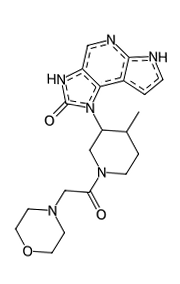 CC1CCN(C(=O)CN2CCOCC2)CC1n1c(=O)[nH]c2cnc3[nH]ccc3c21